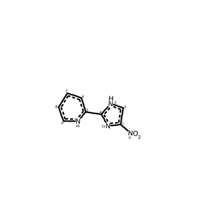 O=[N+]([O-])c1c[nH]c(-c2ccccn2)n1